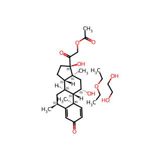 CC(=O)OCC(=O)[C@@]1(O)CC[C@H]2[C@@H]3C[C@H](C)C4=CC(=O)C=C[C@]4(C)[C@H]3[C@@H](O)C[C@@]21C.CCOCC.OCCO